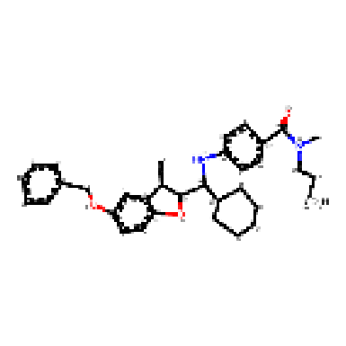 CC1c2cc(OCc3ccccc3)ccc2OC1C(Nc1ccc(C(=O)N(C)CCC(=O)O)cc1)C1CCCCC1